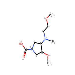 COCCN(C)C1CN(C(=O)O)CC1OC